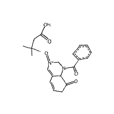 CC(C)(C)CC(=O)O.O=C1CC=CC2=C[N+](=O)CN(C(=O)c3ccccc3)C12